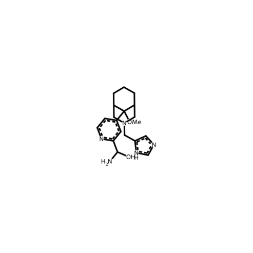 COC1(c2ccnc(C(N)O)c2)C2CCCC1CN(Cc1cnc[nH]1)C2